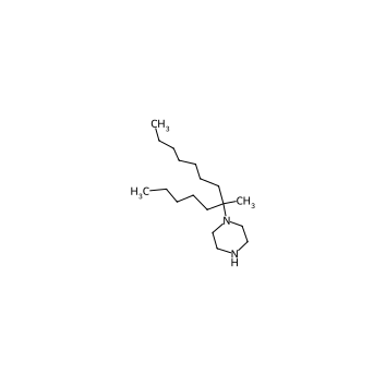 CCCCCCCC(C)(CCCCC)N1CCNCC1